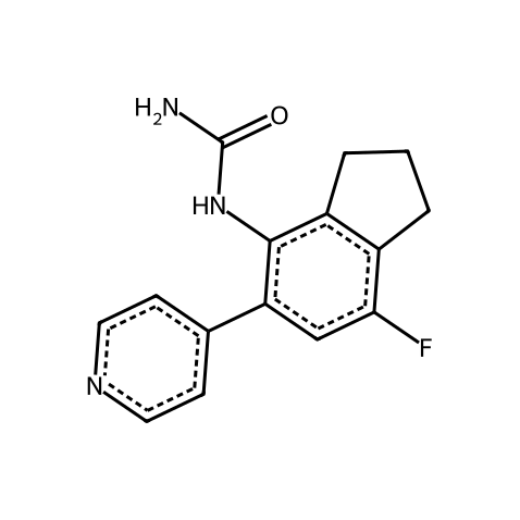 NC(=O)Nc1c(-c2ccncc2)cc(F)c2c1CCC2